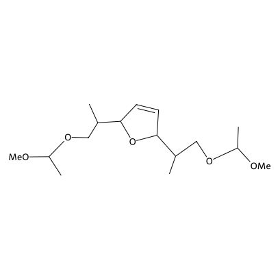 COC(C)OCC(C)C1C=CC(C(C)COC(C)OC)O1